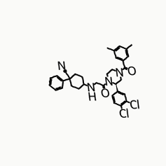 Cc1cc(C)cc(C(=O)N2CCN(C(=O)CNC3CCC(C#N)(c4ccccc4)CC3)[C@H](c3ccc(Cl)c(Cl)c3)C2)c1